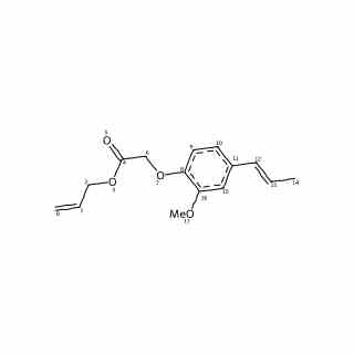 C=CCOC(=O)COc1ccc(C=CC)cc1OC